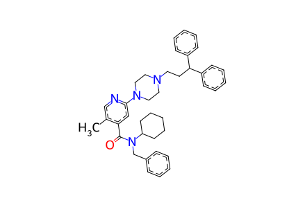 Cc1cnc(N2CCN(CCC(c3ccccc3)c3ccccc3)CC2)cc1C(=O)N(Cc1ccccc1)C1CCCCC1